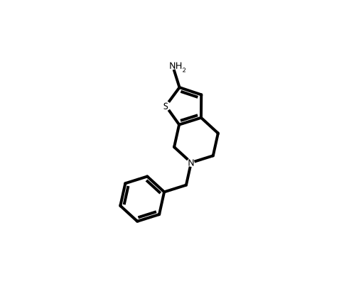 Nc1cc2c(s1)CN(Cc1ccccc1)CC2